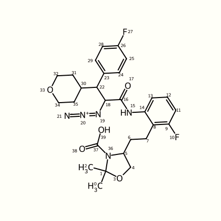 CC1(C)OCC(CCc2c(F)cccc2NC(=O)C(N=[N+]=[N-])C(c2ccc(F)cc2)C2CCOCC2)N1C(=O)O